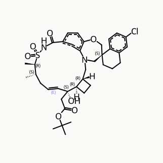 C[C@@H]1[C@@H](C)C/C=C/[C@](O)(CC(=O)OC(C)(C)C)[C@@H]2CC[C@H]2CN2C[C@@]3(CCCc4cc(Cl)ccc43)COc3ccc(cc32)C(=O)NS1(=O)=O